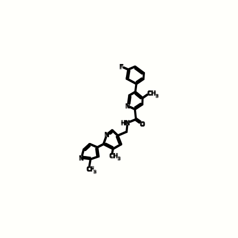 Cc1cc(C(=O)NCc2cnc(-c3ccnc(C(F)(F)F)c3)c(C)c2)ncc1-c1cccc(F)c1